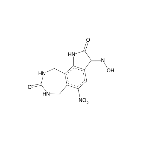 O=C1NCc2c([N+](=O)[O-])cc3c(c2CN1)NC(=O)C3=NO